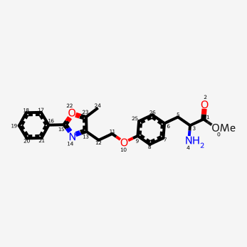 COC(=O)C(N)Cc1ccc(OCCc2nc(-c3ccccc3)oc2C)cc1